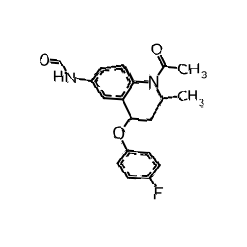 CC(=O)N1c2ccc(NC=O)cc2C(Oc2ccc(F)cc2)CC1C